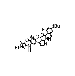 CCn1nc(Nc2cc(-c3ccnc(-n4ncc5cc(C(C)(C)C)cc(F)c5c4=O)c3COC(C)=O)cn(C)c2=O)cc1C